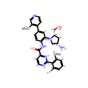 COc1cnccc1-c1ccc(NC(=O)c2ccnc(-c3c(F)cccc3OC)n2)c(N2C[C@@H](N)C[C@H]2CO)c1